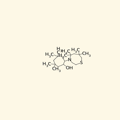 CC1(C)CC(O)C(N2CCSCC(C)(C)CC2(C)C)CC(C)(C)C1